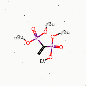 C=C(P(=O)(OCC)OCCCC)P(=O)(OCCCC)OCCCC